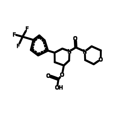 O=C(O)OC1CC(c2ccc(C(F)(F)F)cc2)CN(C(=O)N2CCOCC2)C1